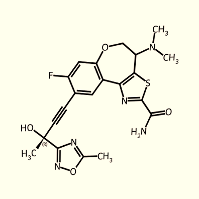 Cc1nc([C@](C)(O)C#Cc2cc3c(cc2F)OCC(N(C)C)c2sc(C(N)=O)nc2-3)no1